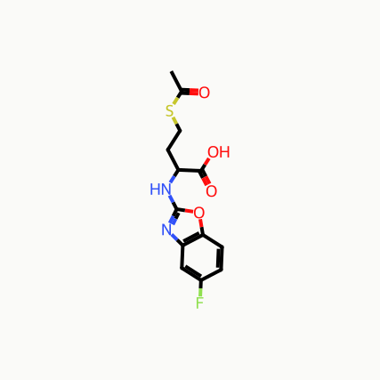 CC(=O)SCCC(Nc1nc2cc(F)ccc2o1)C(=O)O